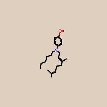 CCCCCCN(C/C=C(\C)CCC=C(C)C)c1ccc(OC)cc1